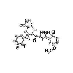 COc1cc(-c2cc(C(=O)N3CCC(C(N)=O)CC3Cc3cccc(Cl)c3F)n[nH]2)c(Cl)cn1